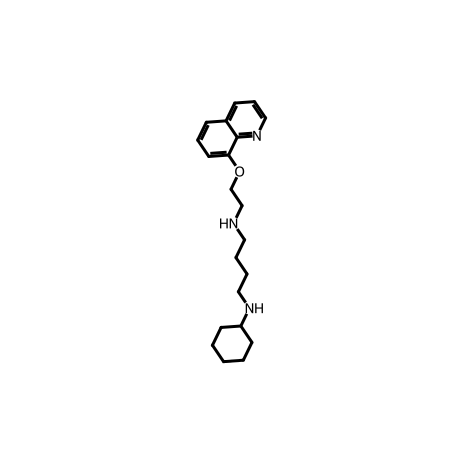 c1cnc2c(OCCNCCCCNC3CCCCC3)cccc2c1